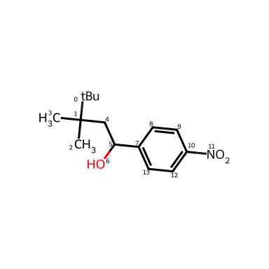 CC(C)(C)C(C)(C)CC(O)c1ccc([N+](=O)[O-])cc1